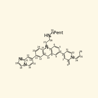 C=C1C=C(c2ccc3c(c2)Cc2cc(-c4ccn5ccnc5c4)ccc2N3CCNCCCCC)C=CN1/C=C\C